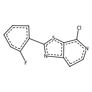 Fc1ccccc1-c1nc2ccnc(Cl)c2s1